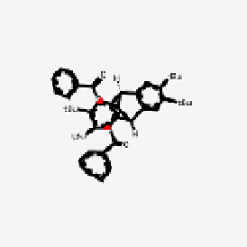 CC(C)(C)c1cc2c(cc1C(C)(C)C)[C@H]1c3cc(C(C)(C)C)c(C(C)(C)C)cc3[C@H]2C(OC(=O)c2ccccc2)C1OC(=O)c1ccccc1